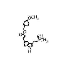 COc1ccc(COC(=O)C=Cc2ccc3[nH]cc(CCN(C)C)c3c2)cc1